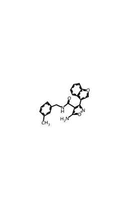 Cc1cccc(CNC(=O)c2c(-c3coc4ccccc34)noc2N)c1